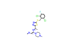 C=N/C=C(\N=C(/C)c1nnc(SCc2c(Cl)ccc(F)c2Cl)s1)N1CCN(C)CC1